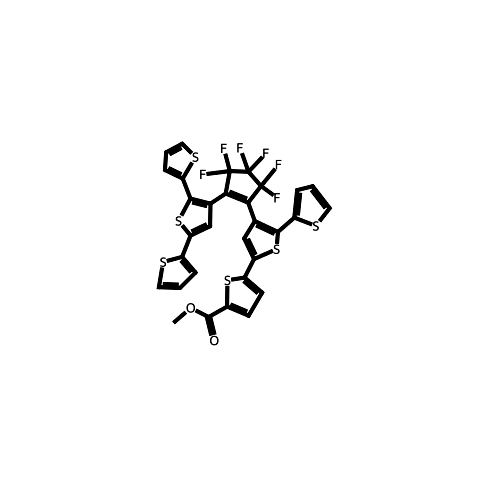 COC(=O)c1ccc(-c2cc(C3=C(c4cc(-c5cccs5)sc4-c4cccs4)C(F)(F)C(F)(F)C3(F)F)c(-c3cccs3)s2)s1